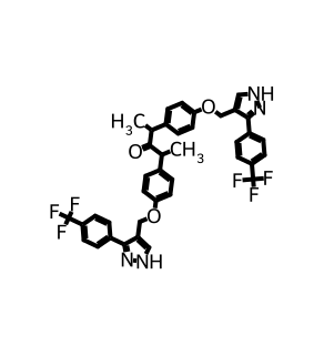 CC(C(=O)C(C)c1ccc(OCc2c[nH]nc2-c2ccc(C(F)(F)F)cc2)cc1)c1ccc(OCc2c[nH]nc2-c2ccc(C(F)(F)F)cc2)cc1